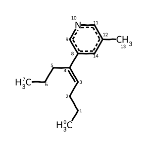 CCCC=C(CCC)c1cncc(C)c1